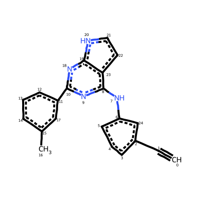 C#Cc1cccc(Nc2nc(-c3cccc(C)c3)nc3[nH]ccc23)c1